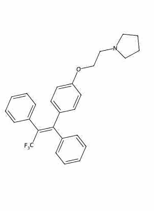 FC(F)(F)/C(=C(\c1ccccc1)c1ccc(OCCN2CCCC2)cc1)c1ccccc1